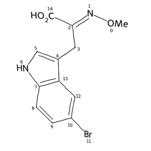 CO/N=C(\Cc1c[nH]c2ccc(Br)cc12)C(=O)O